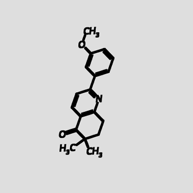 COc1cccc(-c2ccc3c(n2)CCC(C)(C)C3=O)c1